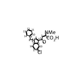 CNC(=CC(=O)c1cn(Cc2ccccc2)c2ccc(Cl)cc12)C(=O)O